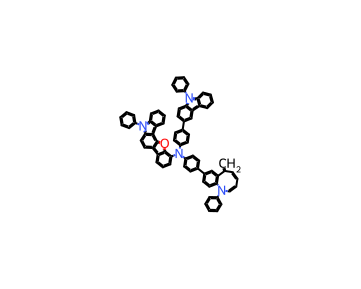 C=C1/C=C\C=C/N(c2ccccc2)c2ccc(-c3ccc(N(c4ccc(-c5ccc6c(c5)c5ccccc5n6-c5ccccc5)cc4)c4cccc5c4oc4c5ccc5c4c4ccccc4n5-c4ccccc4)cc3)cc21